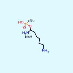 CCCCP(=O)(O)OC(N)CCCCCN.[NaH]